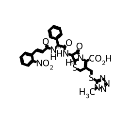 Cn1nnnc1SCC1=C(C(=O)O)N2C(=O)C(NC(=O)[C@@H](NC(=O)C=Cc3ccccc3[N+](=O)[O-])c3ccccc3)[C@@H]2SC1